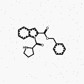 O=C(OCc1ccccc1)c1cc2ccccc2n1C(=O)C1CCCN1